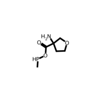 CPOC(=O)C1(N)CCOC1